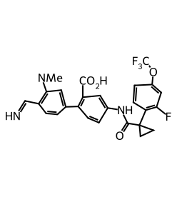 CNc1cc(-c2ccc(NC(=O)C3(c4ccc(OC(F)(F)F)cc4F)CC3)cc2C(=O)O)ccc1C=N